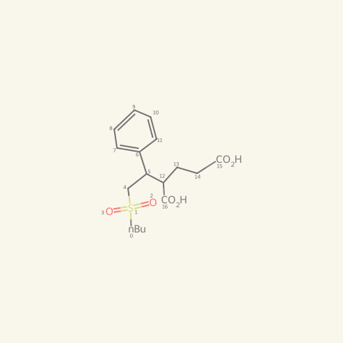 CCCCS(=O)(=O)CC(c1ccccc1)C(CCC(=O)O)C(=O)O